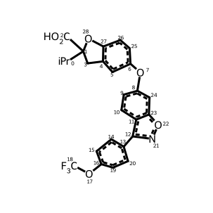 CC(C)C1(C(=O)O)Cc2cc(Oc3ccc4c(-c5ccc(OC(F)(F)F)cc5)noc4c3)ccc2O1